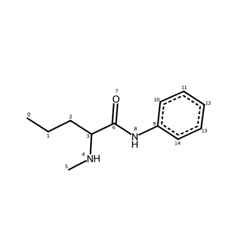 CCCC(NC)C(=O)Nc1ccccc1